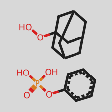 O=P(O)(O)Oc1ccccc1.OOC12CC3CC(CC(C3)C1)C2